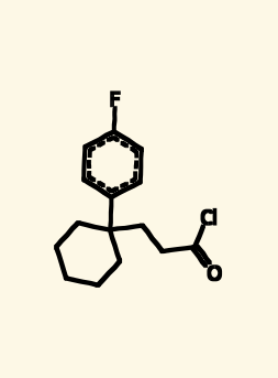 O=C(Cl)CCC1(c2ccc(F)cc2)CCCCC1